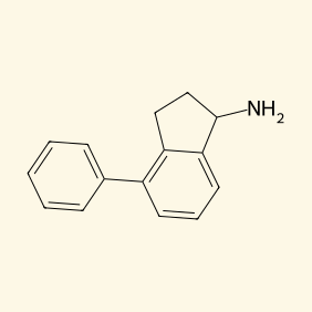 NC1CCc2c(-c3ccccc3)cccc21